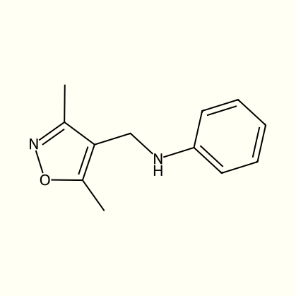 Cc1noc(C)c1CNc1ccccc1